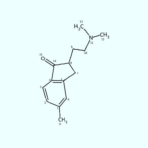 Cc1ccc2c(c1)CC(CCN(C)C)C2=O